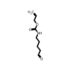 C=CCOC(=O)NCCCC[C]=O